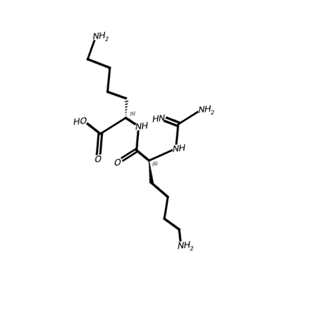 N=C(N)N[C@@H](CCCCN)C(=O)N[C@@H](CCCCN)C(=O)O